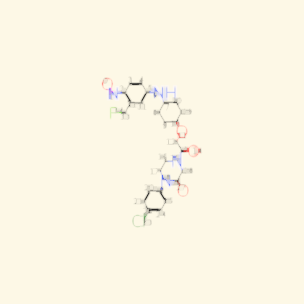 O=Nc1ccc(NC2CCC(OCC(=O)N3CCN(c4ccc(Cl)cc4)C(=O)C3)CC2)cc1CF